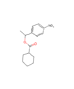 CC(OC(=O)C1CCCCC1)c1ccc([N+](=O)[O-])cc1